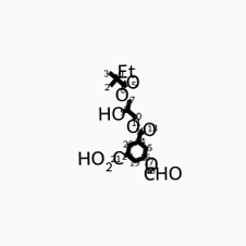 CCC(C)(C)C(=O)OCC(O)COC(=O)C1CC(OC=O)CC(C(=O)O)C1